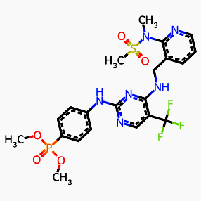 COP(=O)(OC)c1ccc(Nc2ncc(C(F)(F)F)c(NCc3cccnc3N(C)S(C)(=O)=O)n2)cc1